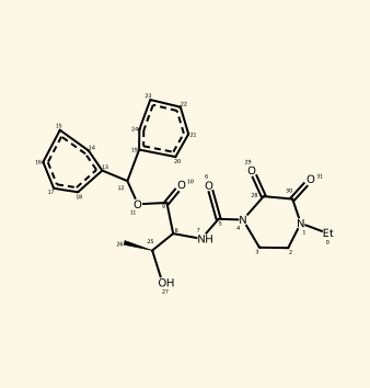 CCN1CCN(C(=O)NC(C(=O)OC(c2ccccc2)c2ccccc2)[C@H](C)O)C(=O)C1=O